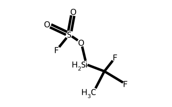 CC(F)(F)[SiH2]OS(=O)(=O)F